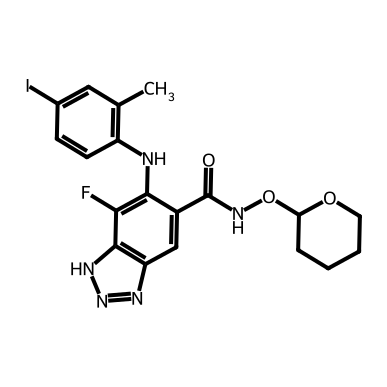 Cc1cc(I)ccc1Nc1c(C(=O)NOC2CCCCO2)cc2nn[nH]c2c1F